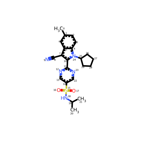 Cc1ccc2c(c1)c(C#N)c(-c1ncc(S(=O)(=O)NC(C)C)cn1)n2C1CCCC1